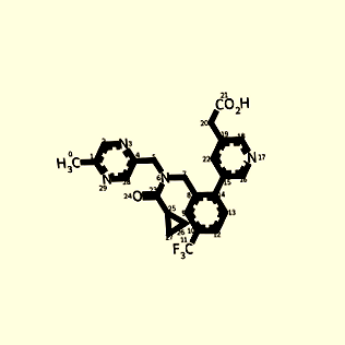 Cc1cnc(CN(Cc2cc(C(F)(F)F)ccc2-c2cncc(CC(=O)O)c2)C(=O)C2CC2)cn1